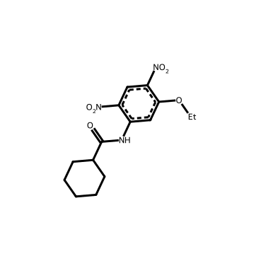 CCOc1cc(NC(=O)C2CCCCC2)c([N+](=O)[O-])cc1[N+](=O)[O-]